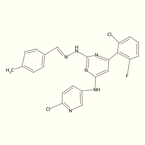 Cc1ccc(C=NNc2nc(Nc3ccc(Cl)nc3)cc(-c3c(F)cccc3Cl)n2)cc1